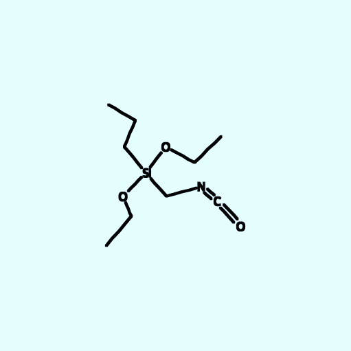 CCC[Si](CN=C=O)(OCC)OCC